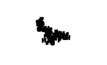 CC(O)Cc1cc(F)c(-c2cc(C(N)=O)c(Nc3cccc(CNC(=O)c4ccn(C)n4)n3)s2)c(F)c1